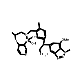 COc1cc(C(CC(=O)O)c2ccc(C)c(CN3CC(C)Oc4ccncc4S3(O)O)c2)cc2nnn(C)c12